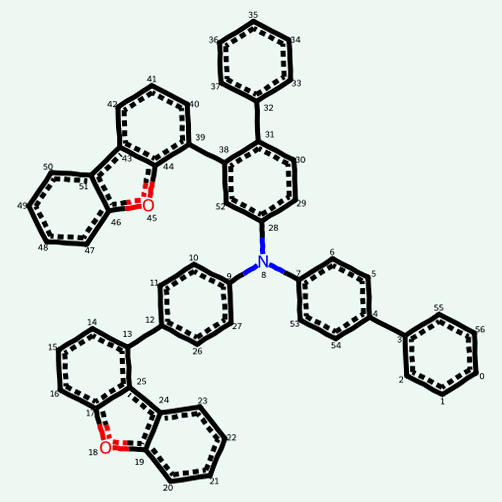 c1ccc(-c2ccc(N(c3ccc(-c4cccc5oc6ccccc6c45)cc3)c3ccc(-c4ccccc4)c(-c4cccc5c4oc4ccccc45)c3)cc2)cc1